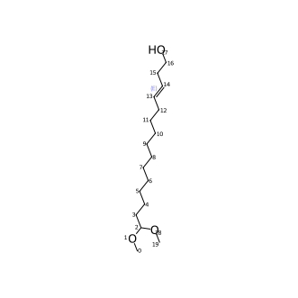 COC(CCCCCCCCCC/C=C/CCO)OC